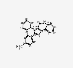 FC(F)(F)c1ccc(-c2cc3c4ccccc4ccc3n2-c2ccccc2)cc1